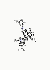 CC(=O)N(c1ncc(/C=C/c2cccc(Cl)c2)s1)C(C(N)=O)c1ncc(/C=C(/Br)c2ncc(C(C)C)o2)s1